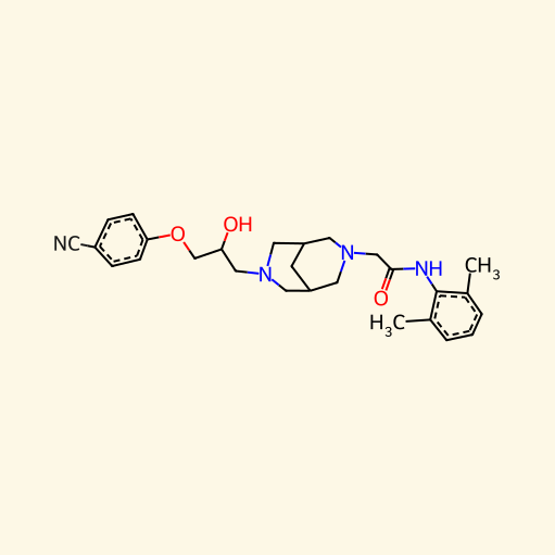 Cc1cccc(C)c1NC(=O)CN1CC2CC(C1)CN(CC(O)COc1ccc(C#N)cc1)C2